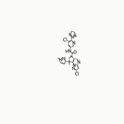 Cn1ccc([C@]2(C)C[C@@H](C(=O)Nc3cnc(-n4nccn4)c(Cl)c3)c3cnc4cc(Cl)nn4c32)n1